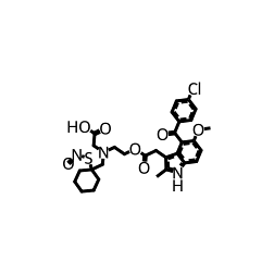 COc1ccc2[nH]c(C)c(CC(=O)OCCN(CC(=O)O)CC3(SN=O)CCCCC3)c2c1C(=O)c1ccc(Cl)cc1